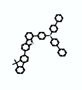 CC1(C)c2ccccc2-c2ccc(-c3ccc4c(c3)oc3c(-c5ccc(N(c6ccc(-c7ccccc7)cc6)c6ccc(-c7ccccc7)cc6)cc5)cccc34)cc21